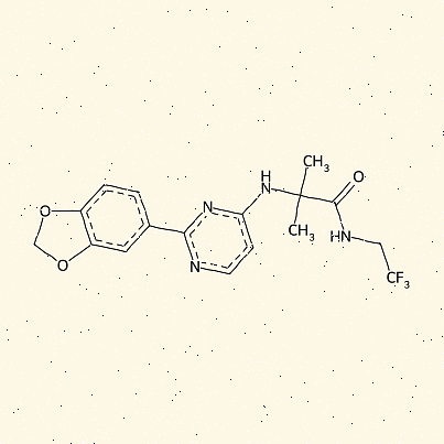 CC(C)(Nc1ccnc(-c2ccc3c(c2)OCO3)n1)C(=O)NCC(F)(F)F